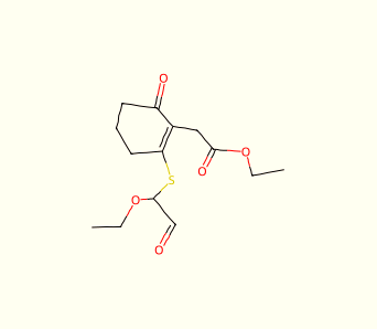 CCOC(=O)CC1=C(SC(C=O)OCC)CCCC1=O